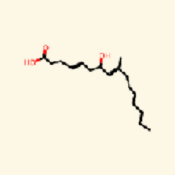 CCCCCCCC(C)=CC(O)CC=CCCC(=O)O